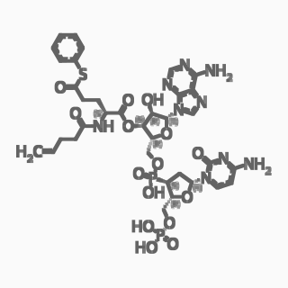 C=CCCC(=O)N[C@@H](CCC(=O)Sc1ccccc1)C(=O)O[C@H]1[C@@H](O)[C@H](n2cnc3c(N)ncnc32)O[C@@H]1COP(=O)(O)[C@H]1C[C@H](n2ccc(N)nc2=O)O[C@@H]1COP(=O)(O)O